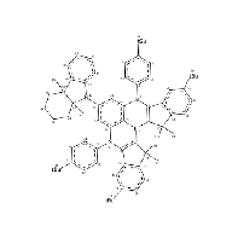 CC(C)(C)c1ccc(N2C3=C(B4C5=C(c6cc(C(C)(C)C)ccc6C5(C)C)N(c5ccc(C(C)(C)C)cc5)c5cc(N6c7ccccc7C7(C)CCCCC67C)cc2c54)C(C)(C)c2ccc(C(C)(C)C)cc23)cc1